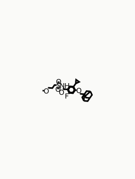 COCCCS(=O)(=O)NC(=O)c1cc(C2CC2)c(OCC23CC4CC(CC(C4)C2)C3)cc1F